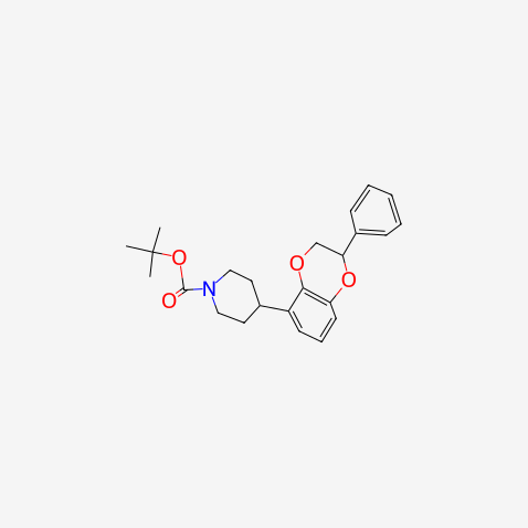 CC(C)(C)OC(=O)N1CCC(c2cccc3c2OCC(c2ccccc2)O3)CC1